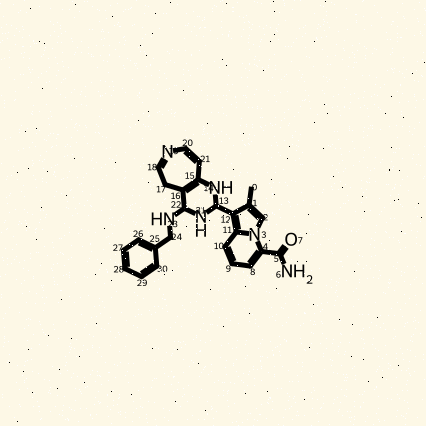 Cc1cn2c(C(N)=O)cccc2c1C1NC2=C(CC=NC=C2)C(NCc2ccccc2)N1